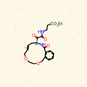 CCOC(=O)CCNC(=O)C(=O)[C@@H]1C/C=C/COCCOCc2ccccc2C(=O)N1